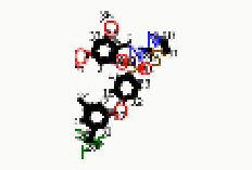 COc1ccc(CN(c2nccs2)S(=O)(=O)c2ccc(Oc3cc(C)cc(C(F)(F)F)c3)cc2)c(OC)c1